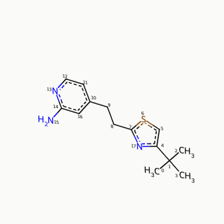 CC(C)(C)c1csc(CCc2ccnc(N)c2)n1